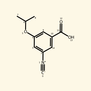 [C-]#[N+]c1cc(OC(C)C)cc(C(=O)O)c1